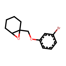 Brc1cccc(OCC23CCCCC2O3)c1